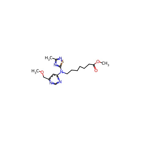 COCc1cc(N(CCCCCCC(=O)OC)c2nc(C)ns2)ncn1